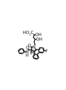 CC(C)C1(C(=O)Nc2ccccc2)C(=O)N(CCC(O)CC(O)C(=O)O)c2c1c1ccccc1c1cc(F)ccc21